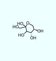 OC[C@]1(O)OC[C@@H](O)[C@H](O)C1O